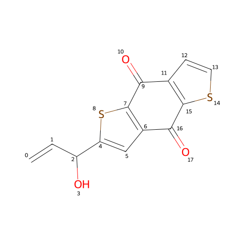 C=CC(O)c1cc2c(s1)C(=O)c1ccsc1C2=O